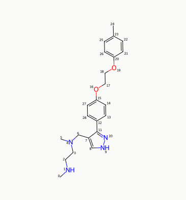 CNCCN(C)Cc1c[nH]nc1-c1ccc(OCCOc2ccc(C)cc2)cc1